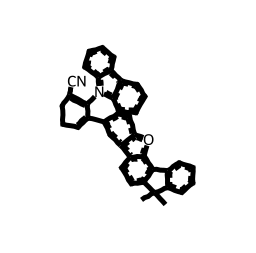 CC1(C)c2ccccc2-c2c1ccc1c2oc2ccc(C3=CCCC(C#N)=C3n3c4ccccc4c4ccccc43)cc21